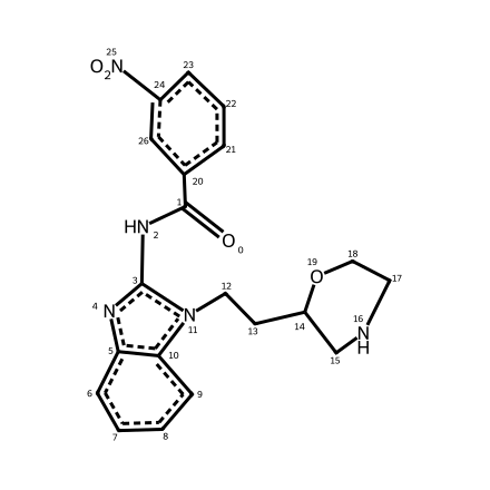 O=C(Nc1nc2ccccc2n1CCC1CNCCO1)c1cccc([N+](=O)[O-])c1